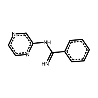 N=C(Nc1cnccn1)c1ccccc1